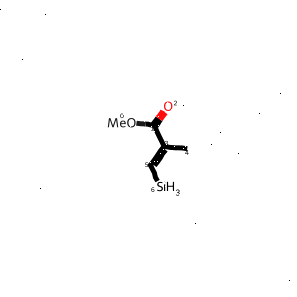 COC(=O)C(C)=C[SiH3]